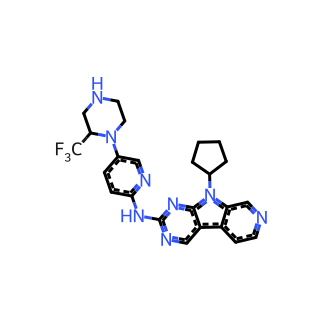 FC(F)(F)C1CNCCN1c1ccc(Nc2ncc3c4ccncc4n(C4CCCC4)c3n2)nc1